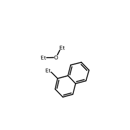 CCOCC.CCc1cccc2ccccc12